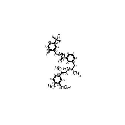 C[C@H](Cc1cccc(C(=O)NCc2cc(C(F)(F)F)ccc2F)c1)NC[C@@H](O)c1ccc(O)c(CO)c1